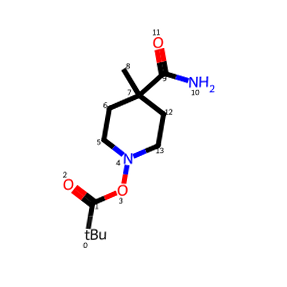 CC(C)(C)C(=O)ON1CCC(C)(C(N)=O)CC1